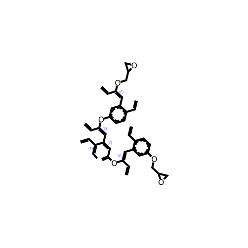 C=CC(=C/C)/C(=C\C(=C)O/C(C=C)=C/c1cc(OCC2CO2)ccc1C=C)/C=C(\C=C)Oc1ccc(C=C)c(/C=C(\C=C)OCC2CO2)c1